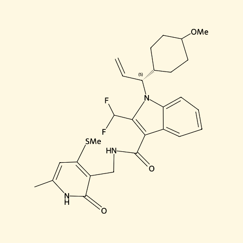 C=C[C@H](C1CCC(OC)CC1)n1c(C(F)F)c(C(=O)NCc2c(SC)cc(C)[nH]c2=O)c2ccccc21